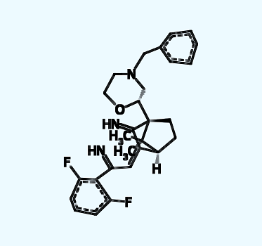 CC1(C)[C@H]2CC[C@]1([C@H]1CN(Cc3ccccc3)CCO1)C(=N)/C2=C\C(=N)c1c(F)cccc1F